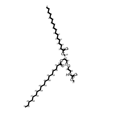 CCCCCCCCCCCCCCCCCC(=O)OC[C@H](COOCCNC(=O)OC)OC(=O)CCCCCCCCCCCCCCCCC